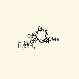 COc1nc2ccc3cc2cc1OCCOc1cncc(c1)COc1nc(Cl)nc2c1c-3cn2COCC[Si](C)(C)C